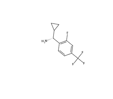 N[C@@H](c1ccc(C(F)(F)F)cc1F)C1CC1